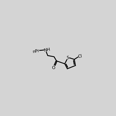 CCCNCCC(=O)c1ccc(Cl)s1